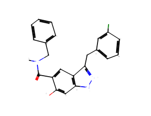 CN(Cc1ccccc1)C(=O)c1cc2c(Cc3cccc(Cl)c3)n[nH]c2cc1O